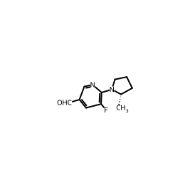 C[C@H]1CCCN1c1ncc(C=O)cc1F